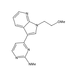 CNc1nccc(-c2cn(CCOC)c3ncccc23)n1